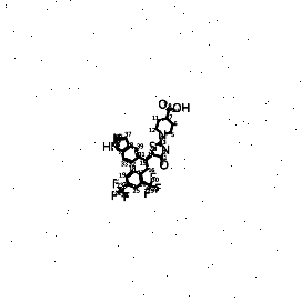 O=C1N=C(N2CCC(C(=O)O)CC2)SC1=C(Cc1ccc(C(F)(F)F)cc1C(F)(F)F)c1ccc2[nH]ncc2c1